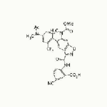 COC(=O)N(C)c1cc2onc(C(=O)Nc3ccc(C#N)cc3C(=O)O)c2cc1-c1ccc(N(C)C(C)=O)cc1C(F)(F)F